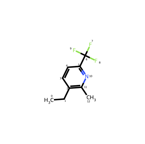 CCc1ccc(C(F)(F)F)nc1C